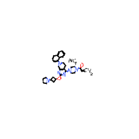 C=CC(=O)N1CCN(c2nc(OC3CC(N4CCCC4)C3)nc3c2CCN(c2cccc4ccccc24)C3)C[C@@H]1CC#N